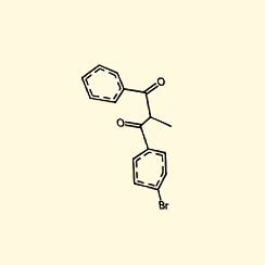 CC(C(=O)c1ccccc1)C(=O)c1ccc(Br)cc1